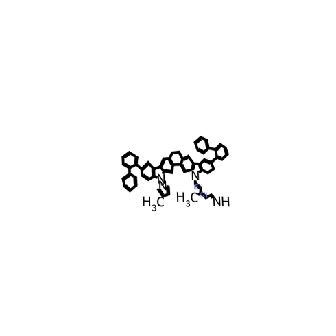 CC(=C/C=N)/C=C/n1c2c(c3cc4c(cc31)-c1cc3c(cc1CC4)c1cc(-c4ccccc4-c4ccccc4)ccc1n3-n1ccc(C)c1)C=C(c1ccccc1-c1ccccc1)CC2